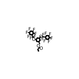 C=CC(=O)OCc1cc(OC(F)(F)c2c(F)c(F)c(F)c(F)c2F)cc(OC(F)(F)c2c(F)c(F)c(F)c(F)c2F)c1